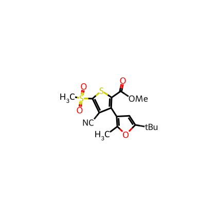 COC(=O)c1sc(S(C)(=O)=O)c(C#N)c1-c1cc(C(C)(C)C)oc1C